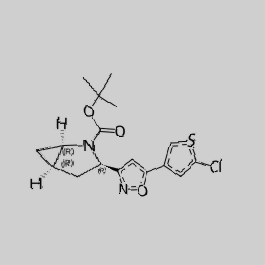 CC(C)(C)OC(=O)N1[C@@H](c2cc(-c3csc(Cl)c3)on2)C[C@H]2C[C@H]21